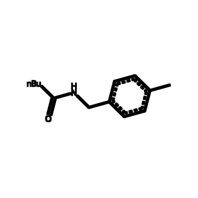 CCCCC(=O)NCc1ccc(C)cc1